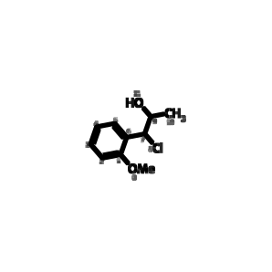 COc1ccccc1C(Cl)C(C)O